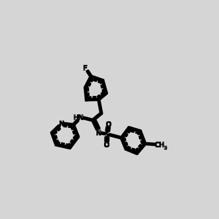 Cc1ccc(S(=O)(=O)N=C(Cc2ccc(F)cc2)Nc2ccccn2)cc1